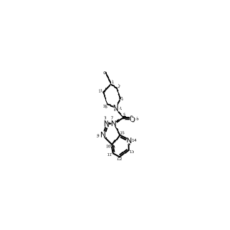 CC1CCN(C(=O)n2nnc3cccnc32)CC1